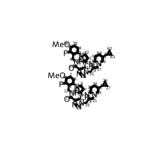 COc1ccc(-n2ccc(C(F)(F)F)n2)c(CNC(=O)c2cn(Cc3cn4cc(C5CC5)ccc4n3)nn2)c1F.COc1ccc(-n2ccc(C(F)(F)F)n2)c(CNC(=O)c2cn(Cc3cn4cc(C5CC5)ccc4n3)nn2)c1F